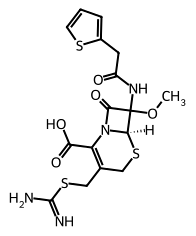 COC1(NC(=O)Cc2cccs2)C(=O)N2C(C(=O)O)=C(CSC(=N)N)CS[C@@H]21